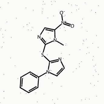 Cn1c([N+](=O)[O-])cnc1Sc1nccn1-c1ccccc1